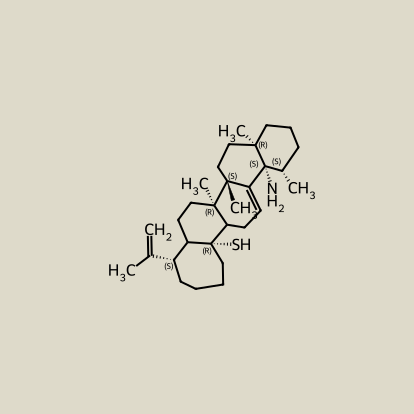 C=C(C)[C@H]1CCCC[C@@]2(S)C1CC[C@]1(C)C2CC=C2[C@@]1(C)CC[C@@]1(C)CCC[C@H](C)[C@@]21N